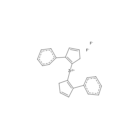 C1=CC(c2ccccc2)=[C]([Zr+2][C]2=C(c3ccccc3)C=CC2)C1.[F-].[F-]